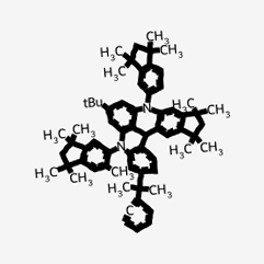 Cc1cc2c(cc1N1c3cc(C(C)(C)c4ccccc4)ccc3C3c4cc5c(cc4N(c4ccc6c(c4)C(C)(C)CC6(C)C)c4cc(C(C)(C)C)cc1c43)C(C)(C)CC5(C)C)C(C)(C)CC2(C)C